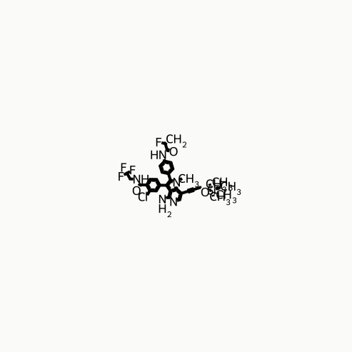 C=C(F)C(=O)Nc1ccc(-c2c(-c3ccc(C(=O)NCC(F)(F)F)c(Cl)c3)c3c(N)ncc(C#CCO[Si](C)(C)C(C)(C)C)c3n2C)cc1